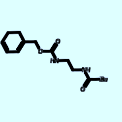 CCC(C)C(=O)NCCNC(=O)OCC1=CC=CCC1